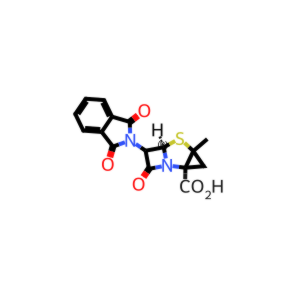 CC12CC1(C(=O)O)N1C(=O)C(N3C(=O)c4ccccc4C3=O)[C@H]1S2